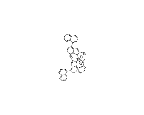 CCC1=Cc2c(-c3cccc4ccccc34)cccc2[CH]1[Zr]([Cl])([Cl])([CH]1C(CC)=Cc2c(-c3cccc4ccccc34)cccc21)=[Si](C)c1ccccc1